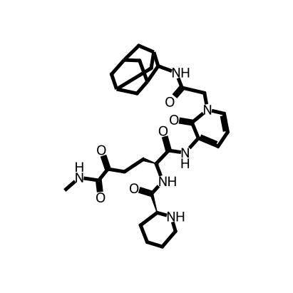 CNC(=O)C(=O)CC[C@H](NC(=O)[C@@H]1CCCCN1)C(=O)Nc1cccn(CC(=O)NC2C3CC4CC(C3)CC2C4)c1=O